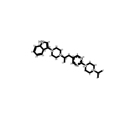 CC(C)N1CCN(c2ncc(CC(C)N3CCN(C4=CNC5C=CC=CC45)CC3)cn2)CC1